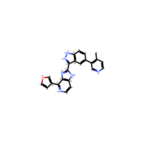 Cc1ccncc1-c1ccc2[nH]nc(-c3nc4c(-c5ccoc5)nccc4[nH]3)c2c1